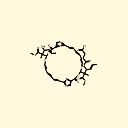 C/C=C/C(O)C(C)(C(=O)OC)C1C\C=C/C=C/C=C/c2nc(co2)C(=O)OC(C(C)(C(=O)OC)C(/C=C/C)OC(=O)CCC(=O)O)C\C=C/C=C/C=C/c2nc(co2)C(=O)O1